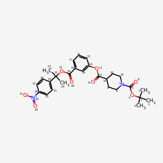 CC(C)(C)OC(=O)N1CCC(C(=O)Oc2cccc(C(=O)OC(C)(C)c3ccc([N+](=O)[O-])cc3)c2)CC1